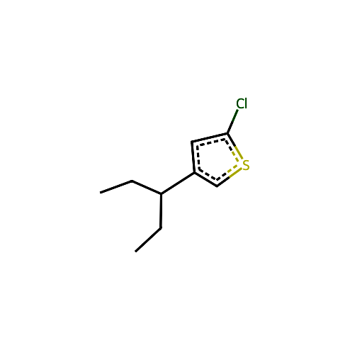 CCC(CC)c1csc(Cl)c1